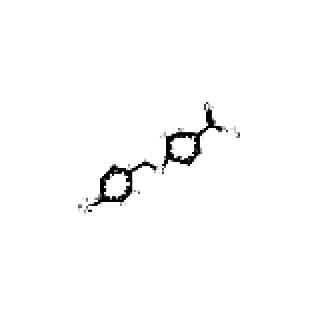 NC(=O)c1ccc(OCc2ccc(C(F)(F)F)cc2)cc1